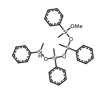 CO[Si](C)(O[Si](C)(O[Si](C)(O[SiH](C)c1ccccc1)c1ccccc1)c1ccccc1)c1ccccc1